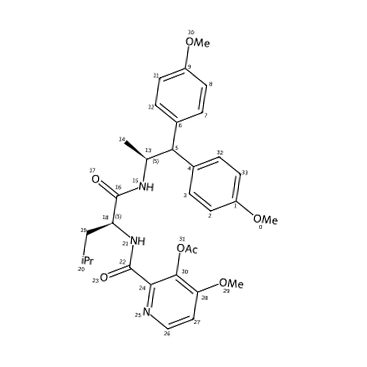 COc1ccc(C(c2ccc(OC)cc2)[C@H](C)NC(=O)[C@H](CC(C)C)NC(=O)c2nccc(OC)c2OC(C)=O)cc1